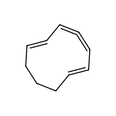 C1=C/C=C/CCC/C=C/C=1